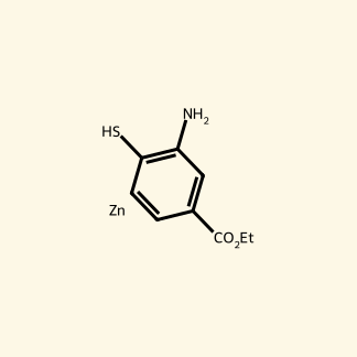 CCOC(=O)c1ccc(S)c(N)c1.[Zn]